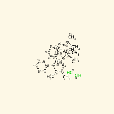 CC1=Cc2c(cc(C)c(C)c2-c2ccccc2)[CH]1[Zr]([CH3])([CH3])(=[SiH2])[CH]1C(C(C)C)=Cc2cccc(C)c21.Cl.Cl